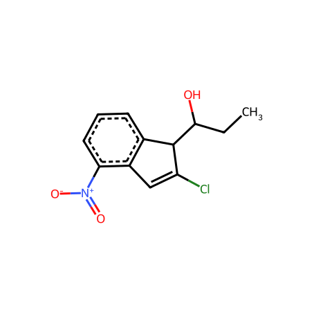 CCC(O)C1C(Cl)=Cc2c1cccc2[N+](=O)[O-]